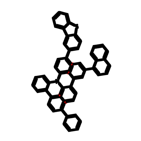 c1ccc(-c2ccc(-c3ccccc3N(c3ccc(-c4ccc5sc6ccccc6c5c4)cc3)c3ccccc3-c3cccc(-c4cccc5ccccc45)c3)cc2)cc1